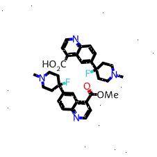 CN1CCC(F)(c2ccc3nccc(C(=O)O)c3c2)CC1.COC(=O)c1ccnc2ccc(C3(F)CCN(C)CC3)cc12